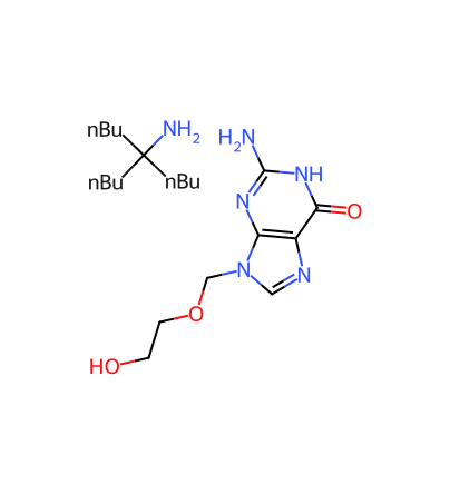 CCCCC(N)(CCCC)CCCC.Nc1nc2c(ncn2COCCO)c(=O)[nH]1